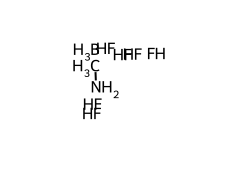 B.CN.F.F.F.F.F.F